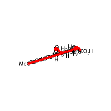 COCCOCCOCCOCCOCCOCCOCCOCCOCCOCC(=O)NCCCC[C@H](NC(=O)CCCN1C(=O)C=CC1=O)C(=O)NCCCC(=O)NCCNC(=O)OCC(=O)Nc1cc(C[C@H](N)C[C@H](C)C(=O)O)ccc1O